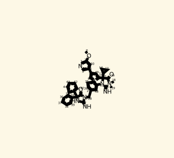 COc1cncc(-c2csc(C3(C4CC4)C(=O)[N+](C)(C)C(=N)N3c3cccc(CN4C(=N)NC(c5ccccc5)(c5ccccc5)C4=O)c3)c2)c1